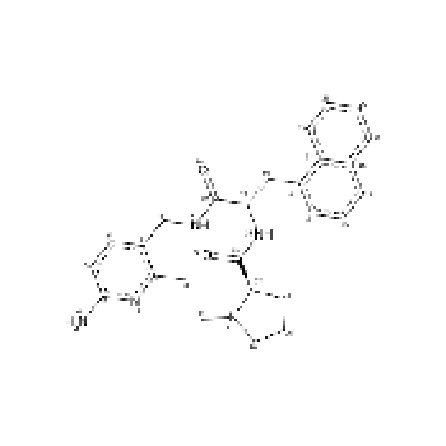 Cc1nc(N)ccc1CNC(=O)[C@H](Cc1cccc2ccccc12)NC(=O)[C@H]1CCCN1C